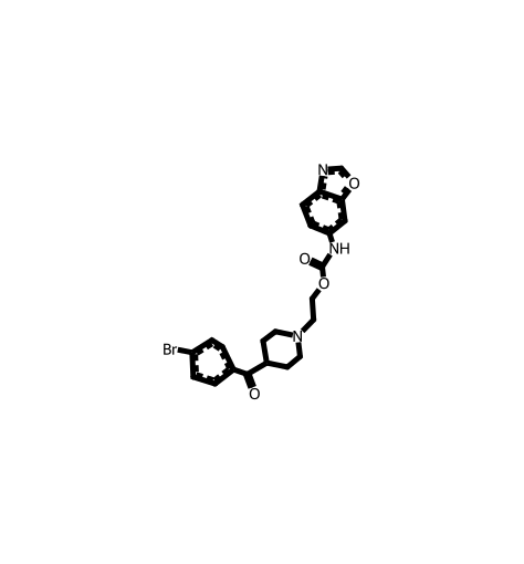 O=C(Nc1ccc2ncoc2c1)OCCN1CCC(C(=O)c2ccc(Br)cc2)CC1